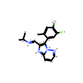 Cc1cc(Cl)c(F)cc1-c1c(/C=N/C(C)C)nc2cccnn12